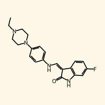 CCN1CCN(c2ccc(NC=C3C(=O)Nc4cc(F)ccc43)cc2)CC1